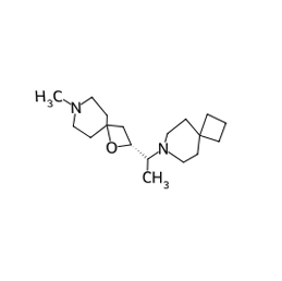 CC([C@H]1CC2(CCN(C)CC2)O1)N1CCC2(CCC2)CC1